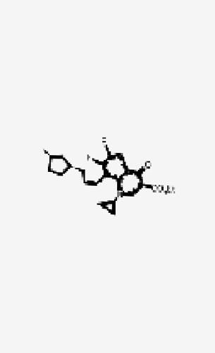 CCOC(=O)c1cn(C2CC2)c2c(/C=C\C[C@H]3CC[C@@H](C)C3)c(F)c(F)cc2c1=O